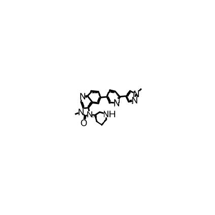 Cn1cc(-c2ccc(-c3ccc4ncc5c(c4c3)n([C@@H]3CCCNC3)c(=O)n5C)cn2)cn1